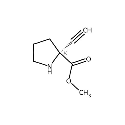 C#C[C@@]1(C(=O)OC)CCCN1